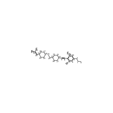 CCCc1cc(F)c(C#CC2CCC(CC[C@H]3CC[C@H](C=C(F)F)CC3)CC2)c(F)c1